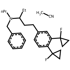 CC#N.CCCN(Cc1ccccc1)C(CC)CCc1ccc(C2(F)CC2)c(C2(F)CC2)c1